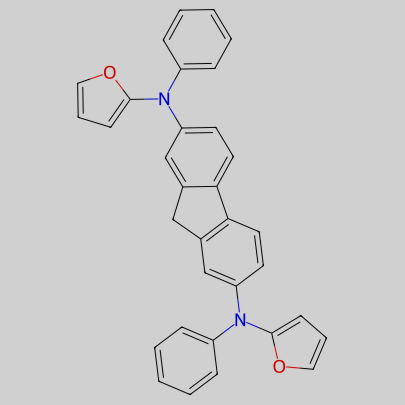 c1ccc(N(c2ccc3c(c2)Cc2cc(N(c4ccccc4)c4ccco4)ccc2-3)c2ccco2)cc1